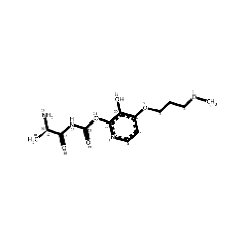 COCCCOc1ccnc(OC(=O)NC(=O)[C@@H](C)N)c1O